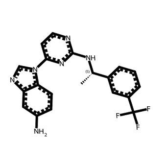 C[C@H](Nc1nccc(-n2cnc3cc(N)ccc32)n1)c1cccc(C(F)(F)F)c1